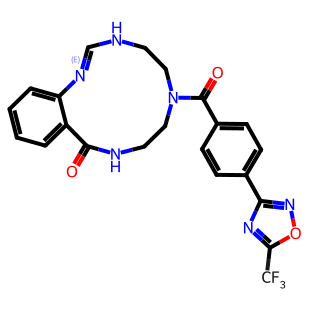 O=C1NCCN(C(=O)c2ccc(-c3noc(C(F)(F)F)n3)cc2)CCN/C=N/c2ccccc21